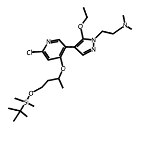 CCOc1c(-c2cnc(Cl)cc2OC(C)CCO[Si](C)(C)C(C)(C)C)cnn1CCN(C)C